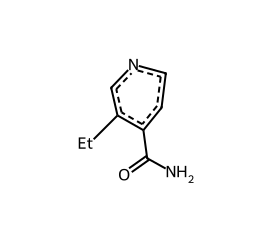 CCc1cnccc1C(N)=O